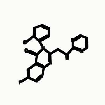 O=c1c2cc(F)ccc2nc(CNc2ncccn2)n1-c1ccccc1Cl